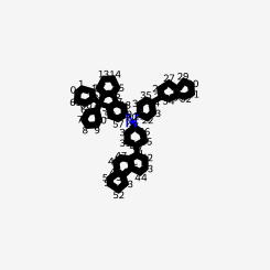 c1ccc(C2(c3ccccc3)c3ccccc3-c3cc(N(c4ccc(-c5ccc6ccccc6c5)cc4)c4ccc(-c5cccc6c5ccc5ccccc56)cc4)ccc32)cc1